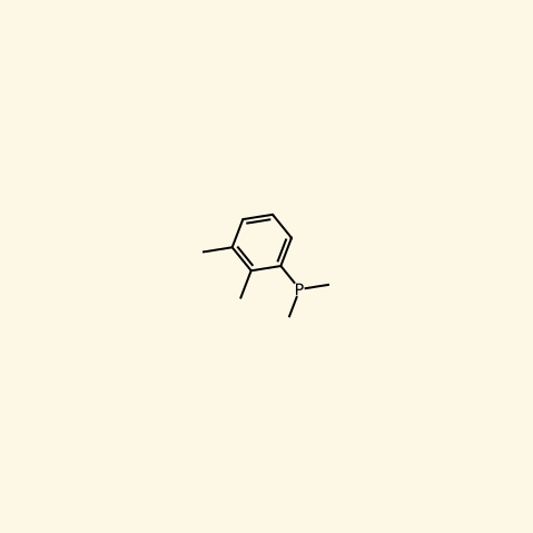 Cc1cccc(P(C)C)c1C